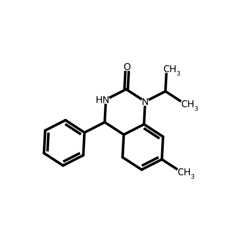 CC1=CCC2C(=C1)N(C(C)C)C(=O)NC2c1ccccc1